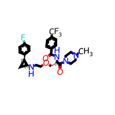 CN1CCN(C(=O)[C@H](COCCN[C@@H]2C[C@H]2c2ccc(F)cc2)NC(=O)c2ccc(C(F)(F)F)cc2)CC1